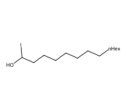 CCCCCCCCCCCCCC(O)I